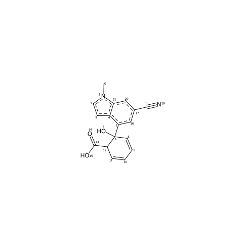 Cn1ccc2c(C3(O)C=CC=CC3C(=O)O)cc(C#N)cc21